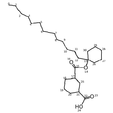 CCCCCCCCCCCCCC1(OC(=O)C2CCCC(C(=O)O)C2)CCCCC1